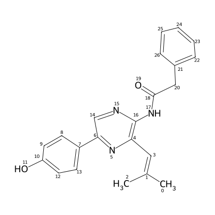 CC(C)=Cc1nc(-c2ccc(O)cc2)cnc1NC(=O)Cc1ccccc1